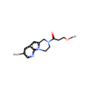 CCCOCCC(=O)N1CCn2c(cc3cc(OC)cnc32)C1